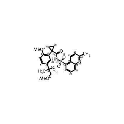 COCC(C)(C)c1ccc(OC)c(C2(C(=O)NS(=O)(=O)c3cccc4nc(C)ccc34)CC2)c1